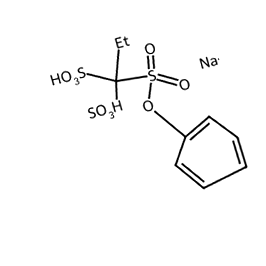 CCC(S(=O)(=O)O)(S(=O)(=O)O)S(=O)(=O)Oc1ccccc1.[Na]